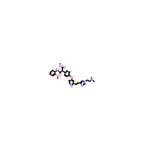 COc1ccccc1NC(=O)C(C(N)=O)c1ccc(Oc2ccnc3cc(-c4cn(CCN(C)C)cn4)sc23)c(F)c1